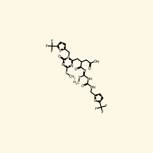 CSC(=NC(=O)C(CC(=O)O)Cc1nc(SC)nc(=O)n1Cc1ccc(C(F)(F)F)s1)NC(=O)NCc1ccc(C(F)(F)F)s1